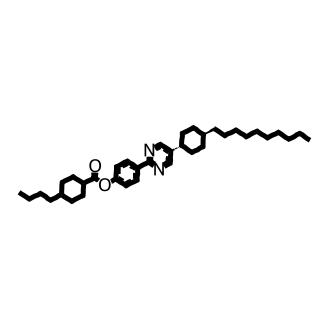 CCCCCCCCCC[C@H]1CC[C@H](c2cnc(-c3ccc(OC(=O)C4CCC(CCCC)CC4)cc3)nc2)CC1